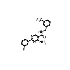 Nc1nc(-c2cccc(F)c2)ncc1C(=O)NCc1cccc(C(F)(F)F)c1